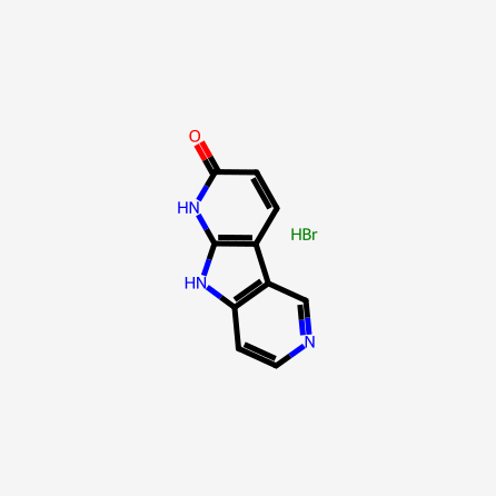 Br.O=c1ccc2c([nH]1)[nH]c1ccncc12